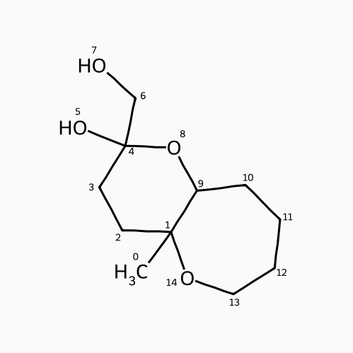 CC12CCC(O)(CO)OC1CCCCO2